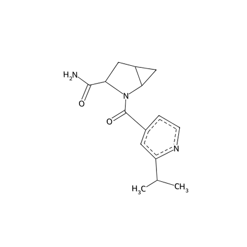 CC(C)c1cc(C(=O)N2C(C(N)=O)CC3CC32)ccn1